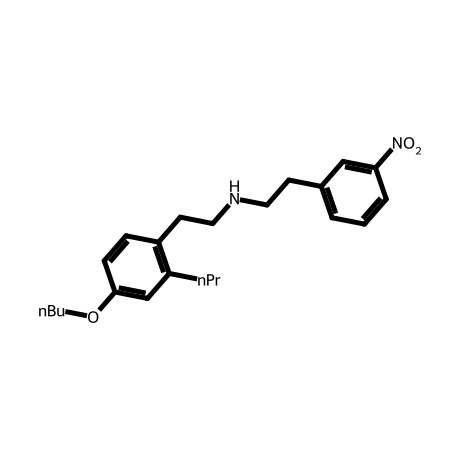 CCCCOc1ccc(CCNCCc2cccc([N+](=O)[O-])c2)c(CCC)c1